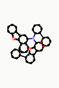 c1ccc(-c2ccccc2N(c2cc3c4ccccc4oc3c3ccccc23)c2cccc3c2oc2c(-c4ccccc4)cccc23)cc1